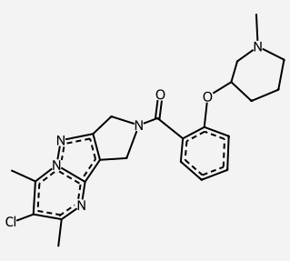 Cc1nc2c3c(nn2c(C)c1Cl)CN(C(=O)c1ccccc1OC1CCCN(C)C1)C3